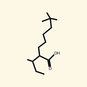 CCC(C)C(CCCCC(C)(C)C)C(=O)O